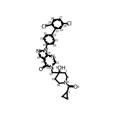 O=C(C1CC1)N1CCC(O)(Cn2cnc3c(cnn3-c3ccc(-c4cc(Cl)ccc4Cl)cc3)c2=O)CC1